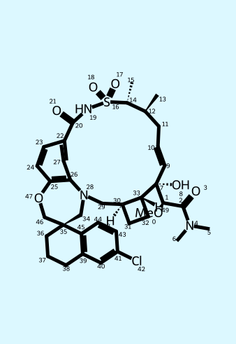 CO[C@H](C(=O)N(C)C)[C@]1(O)/C=C/C[C@H](C)[C@@H](C)S(=O)(=O)NC(=O)c2ccc3c(c2)N(C[C@@H]2CC[C@H]21)C[C@@]1(CCCc2cc(Cl)ccc21)CO3